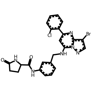 O=C1CCC(C(=O)Nc2cccc(CNc3cc(-c4ccccc4Cl)nc4c(Br)cnn34)c2)N1